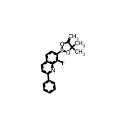 C=C1OB(c2ccc3ccc(-c4ccccc4)nc3c2F)OC1(C)C